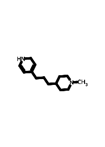 CN1CCC(CCCC2=CCNC=C2)CC1